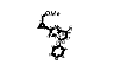 COCC1CC1c1nc2n(n1)[C@H](c1ccccc1)C[C@@H]2F